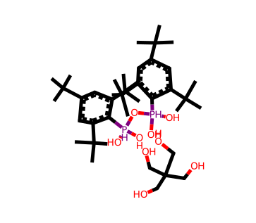 CC(C)(C)c1cc(C(C)(C)C)c([PH](O)(O)O[PH](O)(O)c2c(C(C)(C)C)cc(C(C)(C)C)cc2C(C)(C)C)c(C(C)(C)C)c1.OCC(CO)(CO)CO